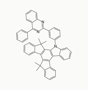 CC1(C)c2ccccc2-c2c1c1c(c3c2c2ccccc2n3-c2cccc(-c3nc(-c4ccccc4)c4ccccc4n3)c2)C(C)(C)c2ccccc2-1